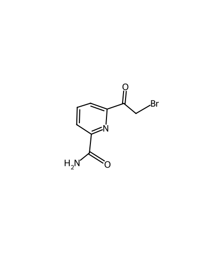 NC(=O)c1cccc(C(=O)CBr)n1